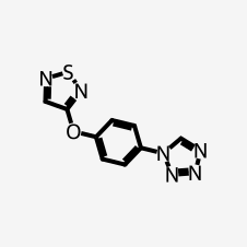 c1cc(-n2cnnn2)ccc1Oc1cnsn1